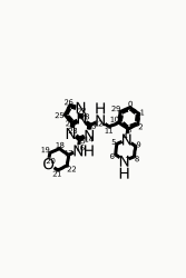 c1ccc(N2CCNCC2)c(CNc2nc(NC3CCOCC3)nc3ccnn23)c1